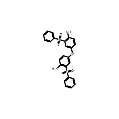 Nc1ccc(Oc2ccc(N)c(S(=O)(=O)c3ccccc3)c2)cc1S(=O)(=O)c1ccccc1